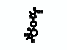 Cc1nc(N2CCC(N3CCCc4c([nH]c(C)c4Cl)C3=O)CC2)sc1C(=O)O